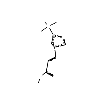 COC(=O)C=Cc1coc([Si](C)(C)C)c1